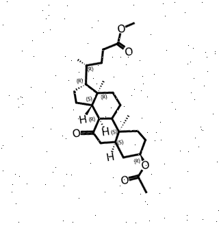 COC(=O)CC[C@@H](C)[C@H]1CC[C@H]2[C@@H]3C(=O)C[C@@H]4C[C@H](OC(C)=O)CC[C@]4(C)C3CC[C@]12C